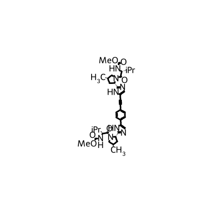 COC(=O)N[C@@H](C(=O)N1C[C@@H](C)C[C@H]1c1ncc(C#Cc2ccc(-c3cnc([C@@H]4C[C@H](C)CN4C(=O)[C@H](NC(=O)OC)C(C)C)[nH]3)cc2)[nH]1)C(C)C